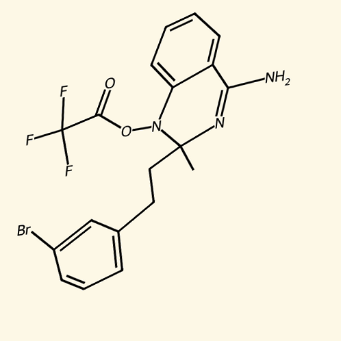 CC1(CCc2cccc(Br)c2)N=C(N)c2ccccc2N1OC(=O)C(F)(F)F